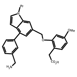 COc1ccc(CC(=O)O)c(OCc2cc(-c3cccc(CN)c3)c3ccn(C(C)C)c3c2)c1